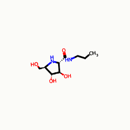 CCCNC(=O)[C@H]1N[C@H](CO)[C@@H](O)[C@@H]1O